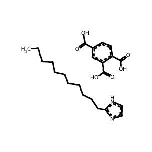 CCCCCCCCCCCc1ncc[nH]1.O=C(O)c1ccc(C(=O)O)c(C(=O)O)c1